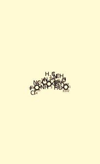 CCOc1ccc2c(Nc3ccc(F)c(Cl)c3)c(C#N)cnc2c1CC(CCNC(=O)c1ccccc1O)N(C)C